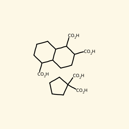 O=C(O)C1(C(=O)O)CCCC1.O=C(O)C1CCCC2C1CCC(C(=O)O)C2C(=O)O